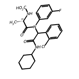 C[C@H](NC(=O)O)C(=O)N(c1cccc(F)c1)C(C(=O)NC1CCCCC1)c1ccccc1Cl